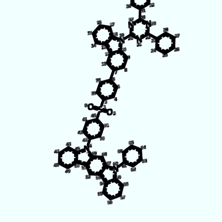 O=S(=O)(c1ccc(-c2ccc3c(c2)c2ccccc2n3-c2nc(-c3ccccc3)nc(-c3ccccc3)n2)cc1)c1ccc(-n2c3ccccc3c3cc4c5ccccc5n(-c5ccccc5)c4cc32)cc1